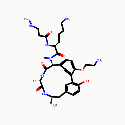 CCCCCCCCCCNCCC(=O)N[C@@H](CCCCN)C(=O)N(C)[C@@H]1C(=O)N[C@@H](C)C(=O)N[C@H](C(=O)O)Cc2ccc(O)c(c2)-c2cc1ccc2OCCN